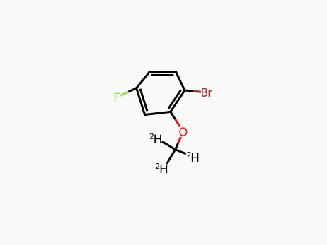 [2H]C([2H])([2H])Oc1cc(F)ccc1Br